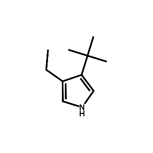 CCc1c[nH]cc1C(C)(C)C